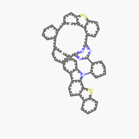 c1ccc(-n2c3ccccc3c3ccc4c5ccccc5sc4c32)c(-c2nc3nc(n2)c2cccc4sc5ccc(cc5c42)c2ccccc2c2cccc3c2)c1